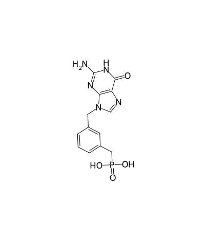 Nc1nc2c(ncn2Cc2cccc(CP(=O)(O)O)c2)c(=O)[nH]1